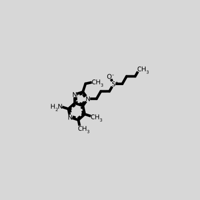 CCCC[S+]([O-])CCCn1c(CC)nc2c(N)nc(C)c(C)c21